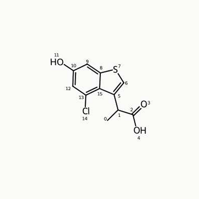 CC(C(=O)O)c1csc2cc(O)cc(Cl)c12